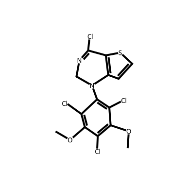 COc1c(Cl)c(OC)c(Cl)c(N2CN=C(Cl)c3sccc32)c1Cl